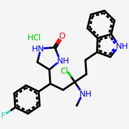 CNC(Cl)(CCc1c[nH]c2ccccc12)CC(c1ccc(F)cc1)C1CNC(=O)N1.Cl